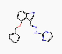 C(=NNc1ncccn1)c1c[nH]c2cccc(OCc3ccccc3)c12